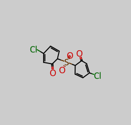 O=C1C=C(Cl)C=CC1S(=O)(=O)C1C=CC(Cl)=CC1=O